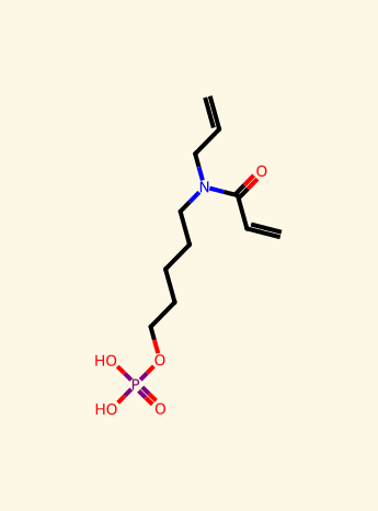 C=CCN(CCCCCOP(=O)(O)O)C(=O)C=C